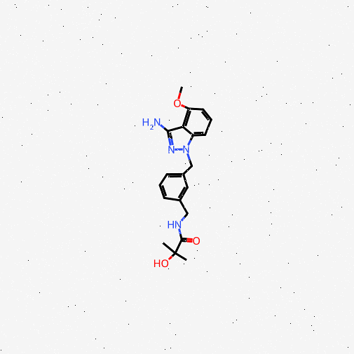 COc1cccc2c1c(N)nn2Cc1cccc(CNC(=O)C(C)(C)O)c1